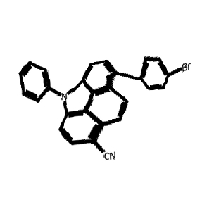 N#Cc1ccc2c3c1ccc1c(-c4ccc(Br)cc4)ccc(c13)n2-c1ccccc1